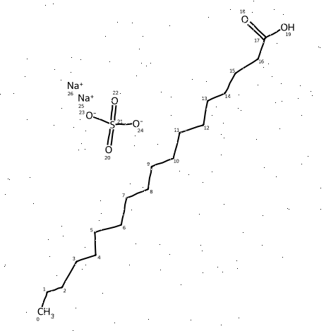 CCCCCCCCCCCCCCCCCC(=O)O.O=S(=O)([O-])[O-].[Na+].[Na+]